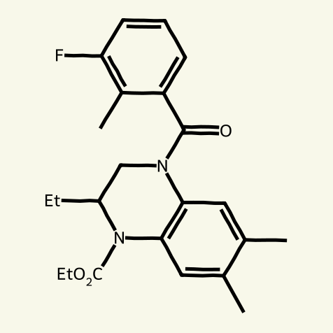 CCOC(=O)N1c2cc(C)c(C)cc2N(C(=O)c2cccc(F)c2C)CC1CC